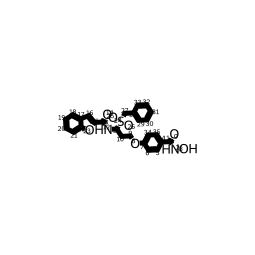 O=C(NO)c1ccc(OCCC(NC(=O)c2cc3ccccc3o2)S(=O)(=O)Cc2ccccc2)cc1